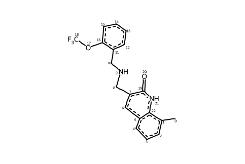 Cc1cccc2cc(CNCc3ccccc3OC(F)(F)F)c(=O)[nH]c12